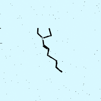 CCCCC=CP(CC)CC